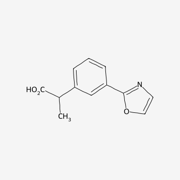 CC(C(=O)O)c1cccc(-c2ncco2)c1